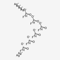 O=[PH]([O-])F.O=[PH]([O-])F.O=[PH]([O-])F.O=[PH]([O-])F.O=[PH]([O-])F.O=[PH]([O-])F.[Ag+].[Ag+].[Ag+].[Ag+].[Ag+].[Ag+]